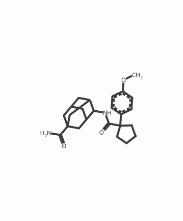 COc1ccc(C2(C(=O)NC3C4CC5CC3CC(C(N)=O)(C5)C4)CCCC2)cc1